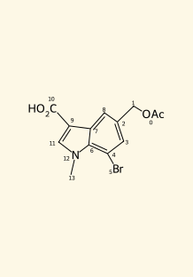 CC(=O)OCc1cc(Br)c2c(c1)c(C(=O)O)cn2C